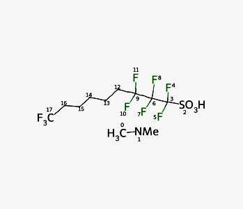 CNC.O=S(=O)(O)C(F)(F)C(F)(F)C(F)(F)CCCCCC(F)(F)F